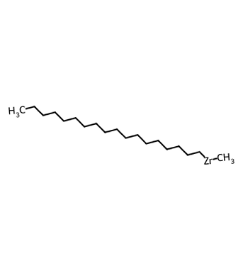 CCCCCCCCCCCCCCCCC[CH2][Zr][CH3]